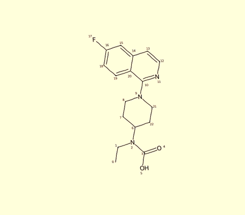 CCN(C(=O)O)C1CCN(c2nccc3cc(F)ccc23)CC1